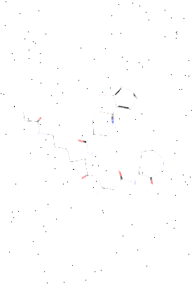 CCC(=O)NCCCCC(NC(=O)C1CN=C(c2ccccc2O)OC1)C(=O)OC(C)CC(=O)NC1CCCCNC1=O